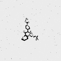 CC(C)(C)OC(=O)N1CCC(C2C(=O)c3ccccc3N(COCC[Si](C)(C)C)S2(=O)=O)CC1